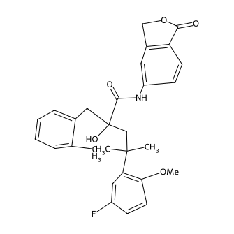 COc1ccc(F)cc1C(C)(C)CC(O)(Cc1ccccc1C)C(=O)Nc1ccc2c(c1)COC2=O